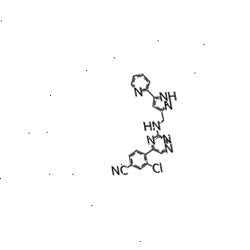 N#Cc1ccc(-c2cnnc(NCc3cc(-c4ccccn4)[nH]n3)n2)c(Cl)c1